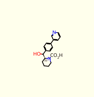 O=C(O)N1CCCC[C@H]1C(O)c1ccc(-c2cccnc2)cc1